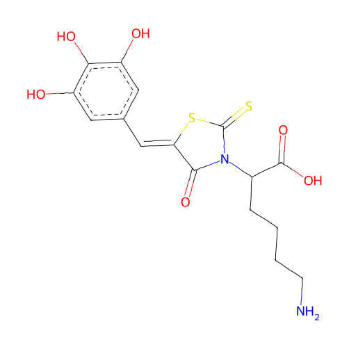 NCCCCC(C(=O)O)N1C(=O)/C(=C/c2cc(O)c(O)c(O)c2)SC1=S